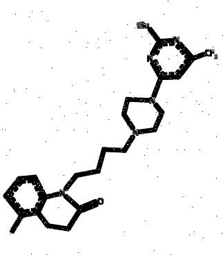 Cc1cccc2c1CCC(=O)N2CCCCN1CCN(c2cc(C(F)(F)F)nc(C(C)(C)C)n2)CC1